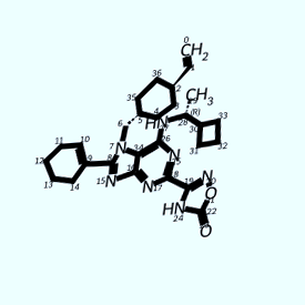 C=C[C@H]1CC[C@H](Cn2c(C3=CCCCC3)nc3nc(-c4noc(=O)[nH]4)nc(N[C@H](C)C4CCC4)c32)CC1